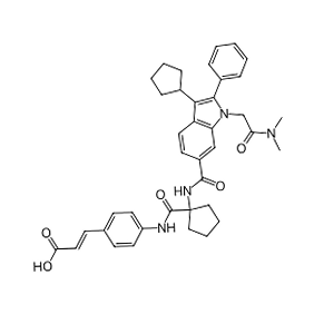 CN(C)C(=O)Cn1c(-c2ccccc2)c(C2CCCC2)c2ccc(C(=O)NC3(C(=O)Nc4ccc(/C=C/C(=O)O)cc4)CCCC3)cc21